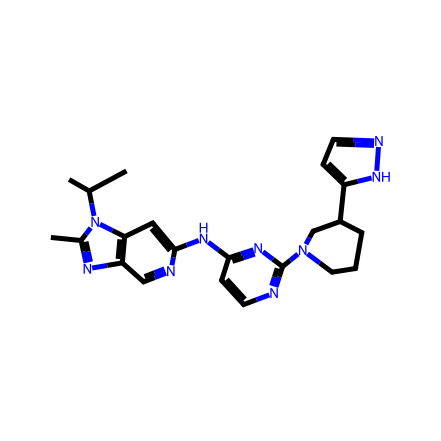 Cc1nc2cnc(Nc3ccnc(N4CCCC(c5ccn[nH]5)C4)n3)cc2n1C(C)C